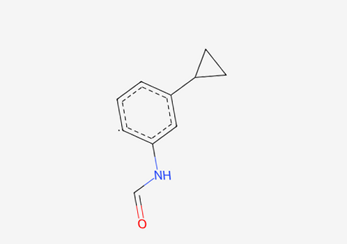 O=CNc1[c]ccc(C2CC2)c1